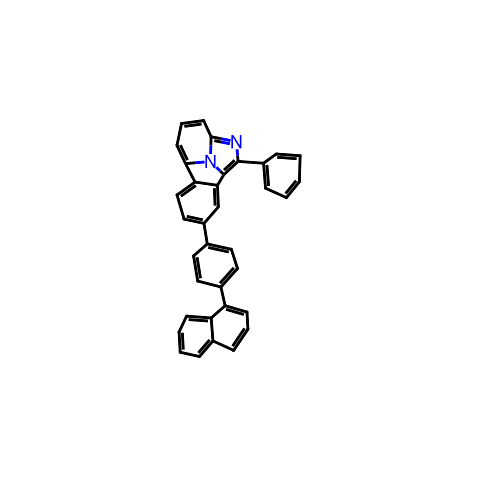 c1ccc(-c2nc3cccc4c5ccc(-c6ccc(-c7cccc8ccccc78)cc6)cc5c2n34)cc1